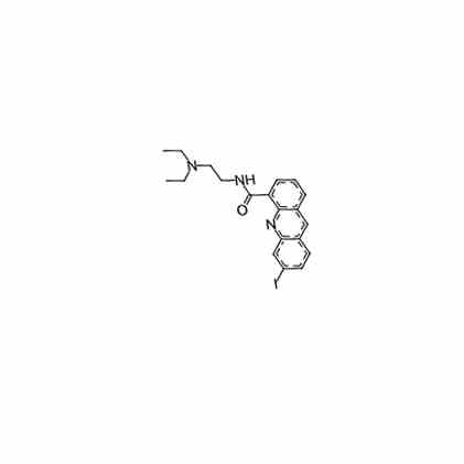 CCN(CC)CCNC(=O)c1cccc2cc3ccc(I)cc3nc12